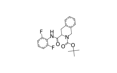 CC(C)(C)OC(=O)N1Cc2ccccc2CC1C(=O)Nc1c(F)cccc1F